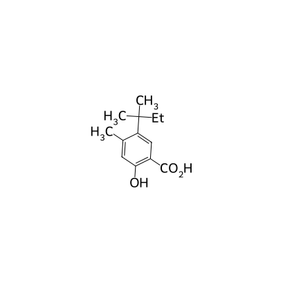 CCC(C)(C)c1cc(C(=O)O)c(O)cc1C